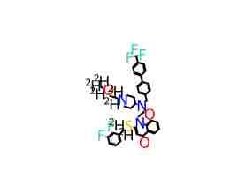 [2H]C([2H])([2H])OCC([2H])([2H])N1CCC(N(Cc2ccc(-c3ccc(C(F)(F)F)cc3)cc2)C(=O)Cn2c(SC([2H])([2H])c3cccc(F)c3F)cc(=O)c3ccccc32)CC1